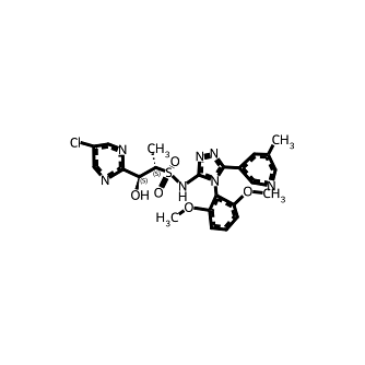 COc1cccc(OC)c1-n1c(NS(=O)(=O)[C@@H](C)[C@@H](O)c2ncc(Cl)cn2)nnc1-c1cncc(C)c1